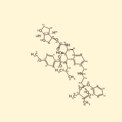 COc1ccc(S(=O)(=O)N(CC(C)C)C[C@@H](O)[C@H](Cc2ccc(CNCCP(=O)(Oc3ccccc3)OC(C)C(C)=O)cc2)NC(=O)O[C@H]2CO[C@H]3OCC[C@H]32)cc1